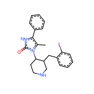 Cc1c(-c2ccccc2)[nH]c(=O)n1C1CCNCC1Cc1ccccc1I